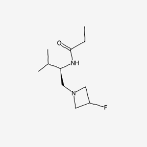 CCC(=O)N[C@@H](CN1CC(F)C1)C(C)C